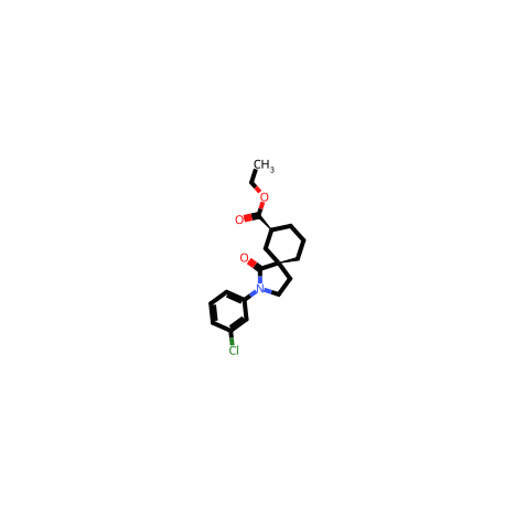 CCOC(=O)[C@H]1CCC[C@]2(CCN(c3cccc(Cl)c3)C2=O)C1